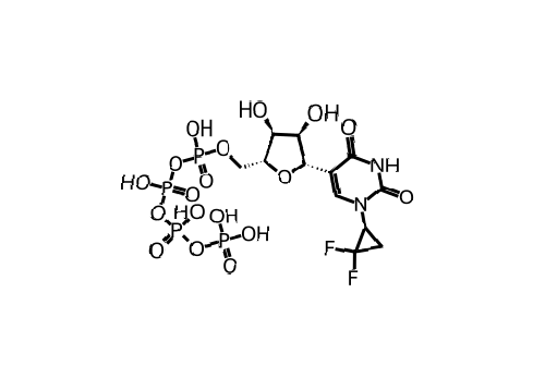 O=c1[nH]c(=O)n(C2CC2(F)F)cc1[C@@H]1O[C@H](COP(=O)(O)OP(=O)(O)OP(=O)(O)OP(=O)(O)O)[C@@H](O)[C@H]1O